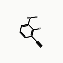 C#Cc1cccc(NCl)c1F